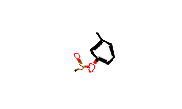 Cc1cccc(OS(C)=O)c1